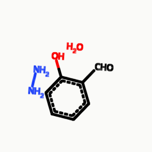 NN.O.O=Cc1ccccc1O